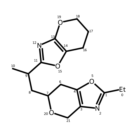 CCc1nc2c(o1)CC(CC(C)c1nc3c(o1)CCCO3)OC2